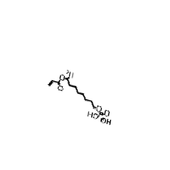 [2H]C(CCCCCCCOP(=O)(O)O)OC(=O)C=C